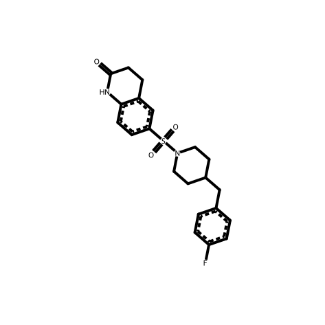 O=C1CCc2cc(S(=O)(=O)N3CCC(Cc4ccc(F)cc4)CC3)ccc2N1